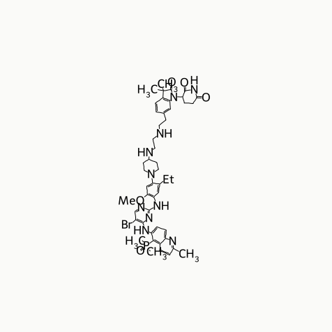 CCc1cc(Nc2ncc(Br)c(Nc3ccc4nc(C)ccc4c3P(C)(C)=O)n2)c(OC)cc1N1CCC(NCCNCCc2ccc3c(c2)N(C2CCC(=O)NC2=O)C(=O)C3(C)C)CC1